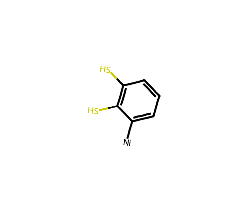 Sc1ccc[c]([Ni])c1S